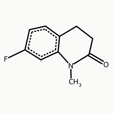 CN1C(=O)CCc2ccc(F)[c]c21